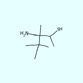 CC(S)C(C)(N)C(C)(C)C